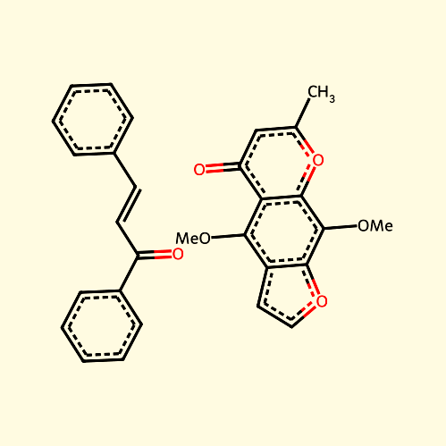 COc1c2occc2c(OC)c2c(=O)cc(C)oc12.O=C(C=Cc1ccccc1)c1ccccc1